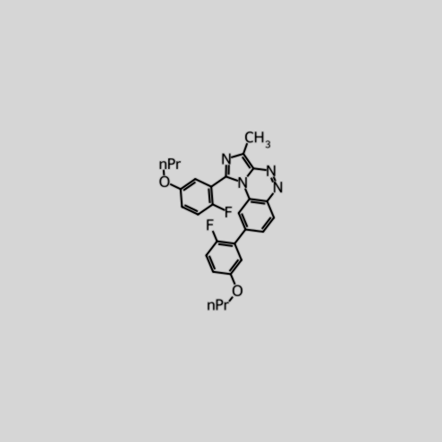 CCCOc1ccc(F)c(-c2ccc3nnc4c(C)nc(-c5cc(OCCC)ccc5F)n4c3c2)c1